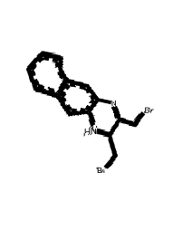 BrCC1=Nc2cc3ccccc3cc2NC1CBr